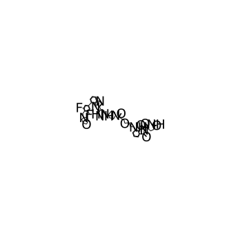 N=C/C(=C\NC1CCN(C(=O)CCOCCNc2cccc3c2C(=O)N(C2CCC(=O)NC2=O)C3=O)CC1)c1cnc2cccc(-c3cc(F)c(CN4CCOCC4)c(F)c3)c2n1